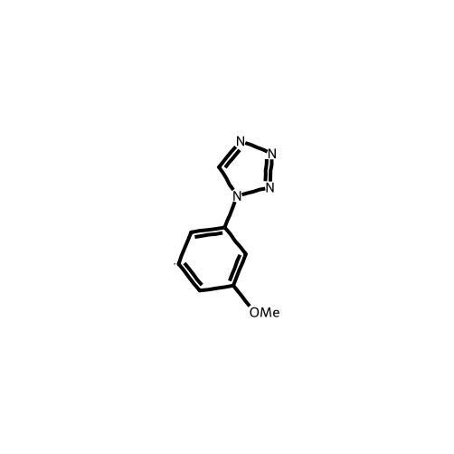 COc1c[c]cc(-n2cnnn2)c1